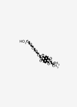 CN(C)CCN1C(=O)c2ccc3c4c(ccc(c24)C1=O)C(=O)N(CCOCCOCCOCCOCCC(=O)O)C3=O